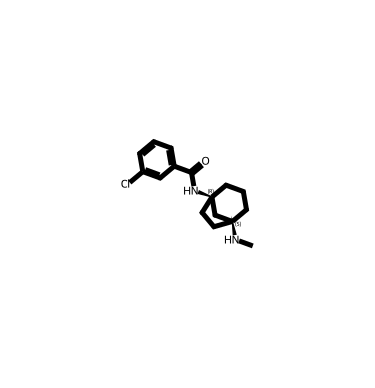 CN[C@@]12CCC[C@@](NC(=O)c3cccc(Cl)c3)(CC1)C2